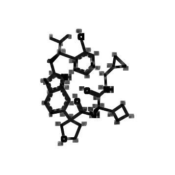 CC(C)[C@H](Cc1nc2ccc(C3(C(=O)N[C@@H](C(=O)NCC4CC4)C4CCC4)CCOC3)cc2[nH]1)c1ccccc1Cl